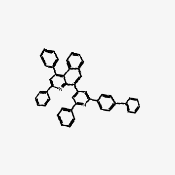 c1ccc(-c2ccc(-c3cc(-c4cc5ccccc5c5c(-c6ccccc6)cc(-c6ccccc6)nc45)cc(-c4ccccc4)n3)cc2)cc1